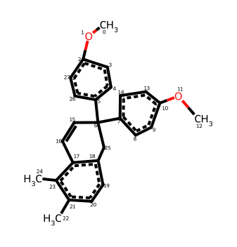 COc1ccc(C2(c3ccc(OC)cc3)C=Cc3c(ccc(C)c3C)C2)cc1